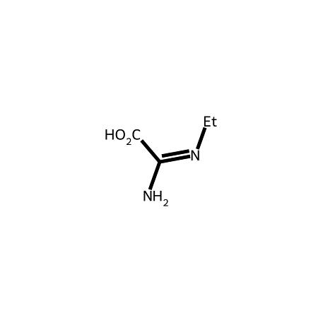 CC/N=C(/N)C(=O)O